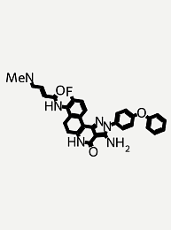 CNC/C=C/C(=O)Nc1c(F)ccc2c1CCc1[nH]c(=O)c3c(N)n(-c4ccc(Oc5ccccc5)cc4)nc3c1-2